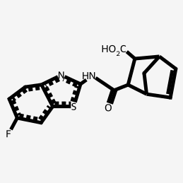 O=C(O)C1C2C=CC(C2)C1C(=O)Nc1nc2ccc(F)cc2s1